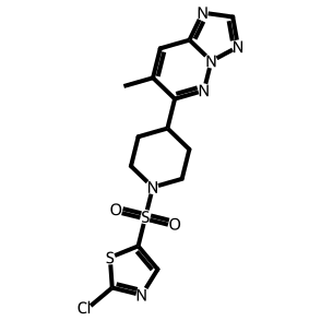 Cc1cc2ncnn2nc1C1CCN(S(=O)(=O)c2cnc(Cl)s2)CC1